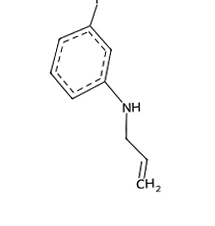 C=CCNc1cccc(F)c1